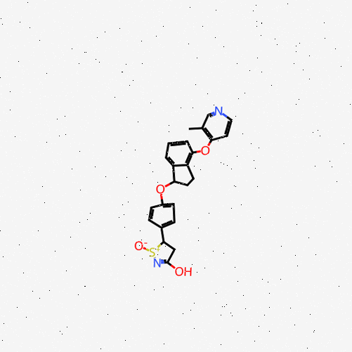 Cc1cnccc1Oc1cccc2c1CCC2Oc1ccc(C2CC(O)=N[S+]2[O-])cc1